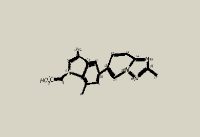 CC(=O)c1cn(CC(=O)O)c2c(C)cc(-c3ccc4nc(C)nn4c3)cc12